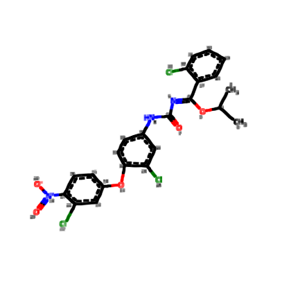 CC(C)O/C(=N\C(=O)Nc1ccc(Oc2ccc([N+](=O)[O-])c(Cl)c2)c(Cl)c1)c1ccccc1Cl